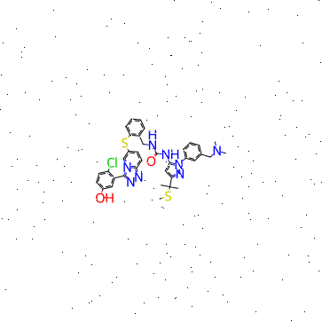 CSC(C)(C)c1cc(NC(=O)NCc2ccccc2Sc2ccc3nnc(-c4cc(O)ccc4Cl)n3c2)n(-c2cccc(CN(C)C)c2)n1